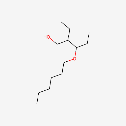 CCCCCCOC(CC)C(CC)CO